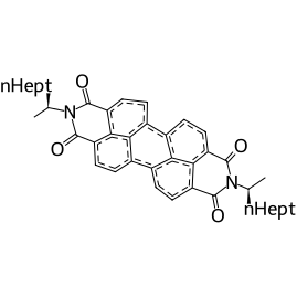 CCCCCCC[C@H](C)N1C(=O)c2ccc3c4ccc5c6c(ccc(c7ccc(c2c37)C1=O)c64)C(=O)N([C@@H](C)CCCCCCC)C5=O